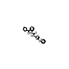 O=C(Nc1ncc(Sc2ccccn2)s1)Nc1ccncc1C(=O)C1CCCC1